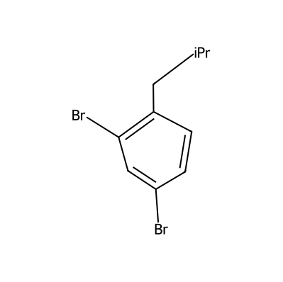 CC(C)Cc1ccc(Br)cc1Br